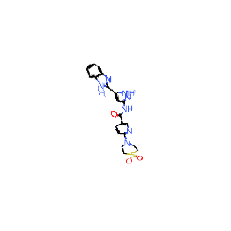 O=C(Nc1cc(-c2nc3ccccc3[nH]2)[nH]n1)c1ccc(N2CCS(=O)(=O)CC2)nc1